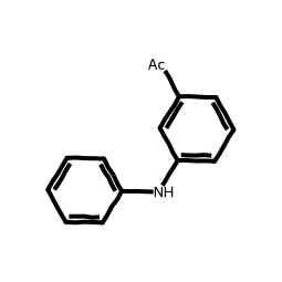 CC(=O)c1cccc(Nc2ccccc2)c1